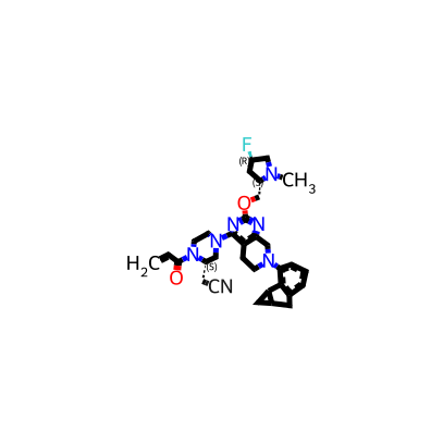 C=CC(=O)N1CCN(c2nc(OC[C@@H]3C[C@@H](F)CN3C)nc3c2CCN(c2cccc4c2C2CC2C4)C3)C[C@@H]1CC#N